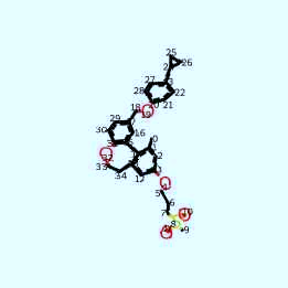 Cc1cc(OCCCS(C)(=O)=O)cc2c1-c1cc(COc3ccc(C4CC4)cc3)ccc1OCC2